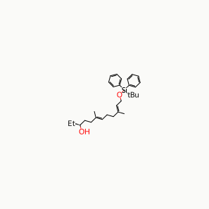 CC[C@H](O)CC/C(C)=C/CC/C(C)=C/CO[Si](c1ccccc1)(c1ccccc1)C(C)(C)C